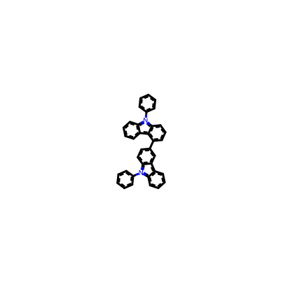 c1ccc(-n2c3ccccc3c3cc(-c4cccc5c4c4ccccc4n5-c4ccccc4)ccc32)cc1